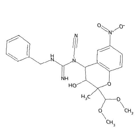 COC(OC)C1(C)Oc2ccc([N+](=O)[O-])cc2C(N(C#N)C(=N)NCc2ccccc2)C1O